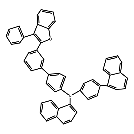 c1ccc(-c2c(-c3cccc(-c4ccc(N(c5ccc(-c6cccc7ccccc67)cc5)c5cccc6ccccc56)cc4)c3)oc3ccccc23)cc1